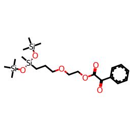 C[Si](C)(C)O[Si](C)(CCCOCCOC(=O)C(=O)c1ccccc1)O[Si](C)(C)C